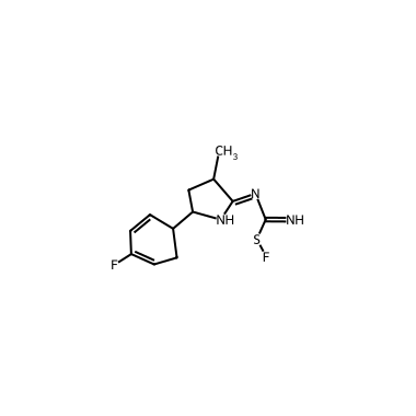 CC1CC(C2C=CC(F)=CC2)N/C1=N\C(=N)SF